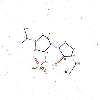 CC(C)N(C)[C@@H]1CC[C@H](N2CC[C@H](NC(=O)O)C2=O)[C@H](CS(C)(=O)=O)C1